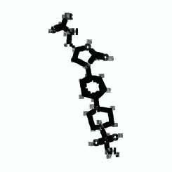 CCC(=S)NC[C@H]1CN(c2ccc(N3CCN(S(N)(=O)=O)CC3)cc2)C(=O)O1